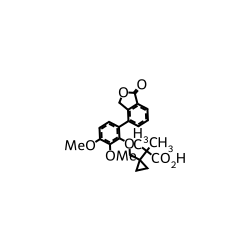 COc1ccc(-c2cccc3c2COC3=O)c(OCC2(C(C)(C)C(=O)O)CC2)c1OC